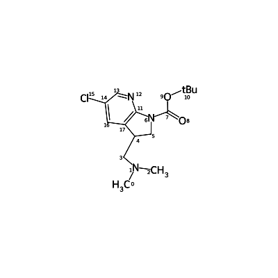 CN(C)CC1CN(C(=O)OC(C)(C)C)c2ncc(Cl)cc21